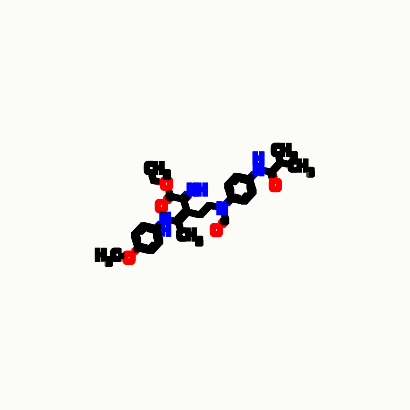 CCOC(=O)C(=N)/C(CCN(C=O)c1ccc(NC(=O)C(C)C)cc1)=C(/C)Nc1ccc(OC)cc1